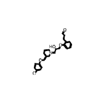 O=CCCc1ccccc1OCC(O)CN1CCCC(COc2ccc(Cl)cc2)C1